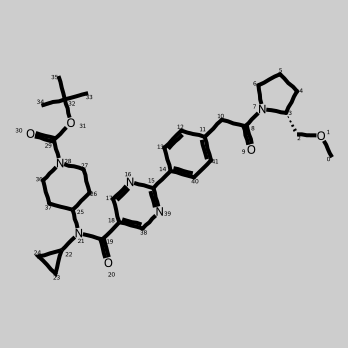 COC[C@H]1CCCN1C(=O)Cc1ccc(-c2ncc(C(=O)N(C3CC3)C3CCN(C(=O)OC(C)(C)C)CC3)cn2)cc1